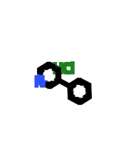 Cl.c1ccc(-c2cccnc2)cc1